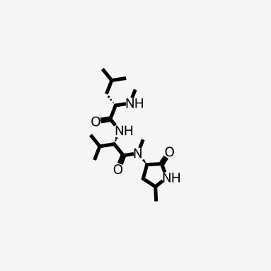 CN[C@@H](CC(C)C)C(=O)N[C@H](C(=O)N(C)[C@H]1CC(C)NC1=O)C(C)C